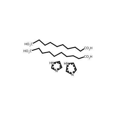 O=C(O)CCCCCCCCC(=O)O.O=C(O)CCCCCCCCC(=O)O.c1c[nH]cn1.c1c[nH]cn1